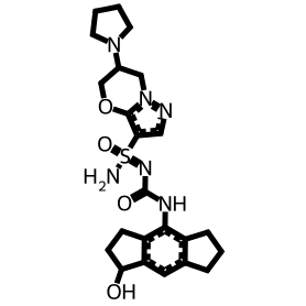 NS(=O)(=NC(=O)Nc1c2c(cc3c1CCC3O)CCC2)c1cnn2c1OCC(N1CCCC1)C2